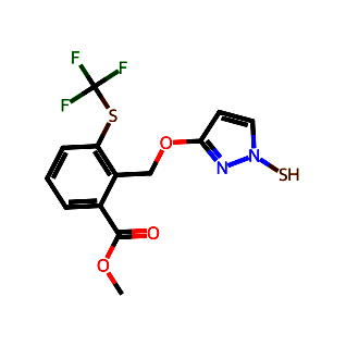 COC(=O)c1cccc(SC(F)(F)F)c1COc1ccn(S)n1